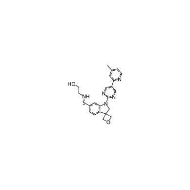 Cc1ccnc(-c2cnc(N3CC4(COC4)c4ccc(SNCCO)cc43)nc2)c1